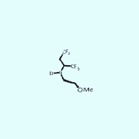 CCN(CCOC)C(CC(F)(F)F)C(F)(F)F